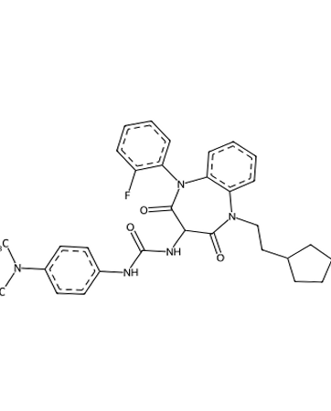 CN(C)c1ccc(NC(=O)NC2C(=O)N(CCC3CCCC3)c3ccccc3N(c3ccccc3F)C2=O)cc1